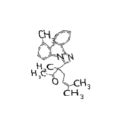 CC(=O)C(C)(CC=C(C)C)c1cnc2c3ccccc3c3c(C)cccc3n12